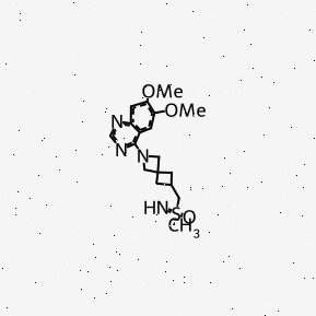 COc1cc2ncnc(N3CC4(CC(C[S@](C)(=N)=O)C4)C3)c2cc1OC